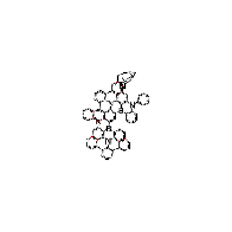 c1ccc(-c2cccc(-c3ccccc3)c2N2c3ccccc3B3c4cc5c(cc4N(c4ccccc4)c4cccc2c43)N(c2c(-c3ccccc3)cccc2-c2ccccc2)c2cc(N3C4CC6CC3C3C(C4)C63)cc3c2B5c2ccccc2N3c2ccccc2)cc1